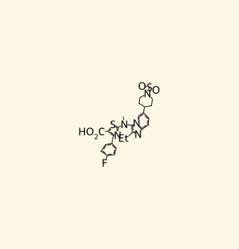 CCc1nc2ccc(C3CCN(S(C)(=O)=O)CC3)cn2c1N(C)c1nc(-c2ccc(F)cc2)c(C(=O)O)s1